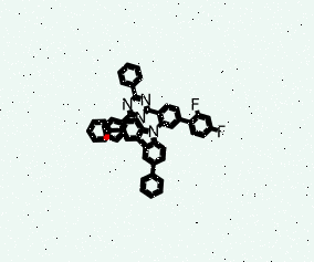 Fc1ccc(-c2ccc(-c3nc(-c4ccccc4)nc(-c4ccccc4)n3)c(-n3c4ccc(-c5ccccc5)cc4c4cc(-c5ccccc5)ccc43)c2)c(F)c1